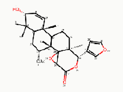 CC(=O)O[C@@H]1CC2C(C)(C)[C@H](O)C=C[C@]2(C)C2CC[C@@]3(C)[C@H](c4ccoc4)OC(=O)C4OC43[C@@]21C